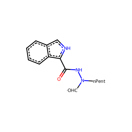 CCCCCN([C]=O)NC(=O)c1[nH]cc2ccccc12